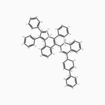 C1=CC(C2=NC(c3c(-c4ccccc4)n4nc(-c5ccccc5)c(-c5ccccc5)c4c4ccccc34)Nc3ccccc32)CC=C1c1ccccc1